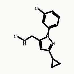 ClNCc1cc(C2CC2)nn1-c1cccc(Cl)c1